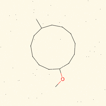 COC1CCCCCCC(C)CCCCC1